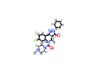 Cc1c2c(=O)n(-c3ccccc3)nc-2c2cc(F)c(F)cc2n1C(=O)N1CCN(C)CC1